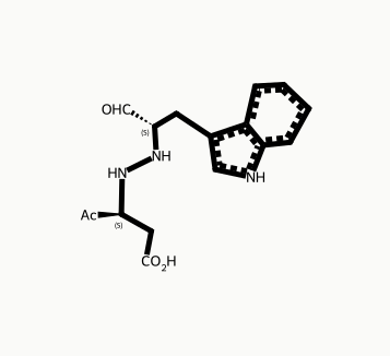 CC(=O)[C@H](CC(=O)O)NN[C@H](C=O)Cc1c[nH]c2ccccc12